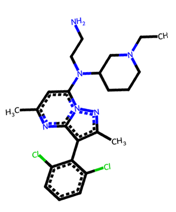 CCN1CCCC(N(CCN)c2cc(C)nc3c(-c4c(Cl)cccc4Cl)c(C)nn23)C1